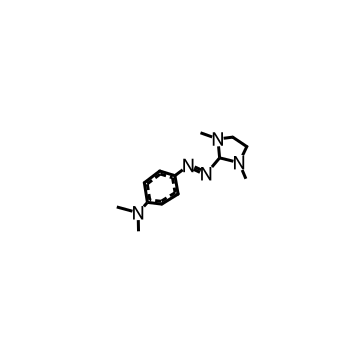 CN(C)c1ccc(N=NC2N(C)CCN2C)cc1